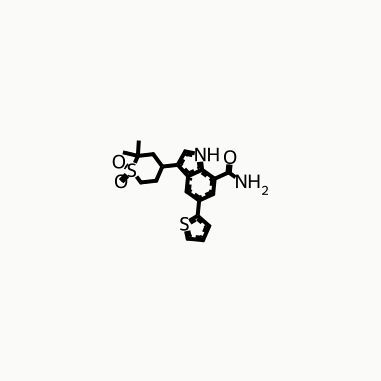 CC1(C)CC(c2c[nH]c3c(C(N)=O)cc(-c4cccs4)cc23)CCS1(=O)=O